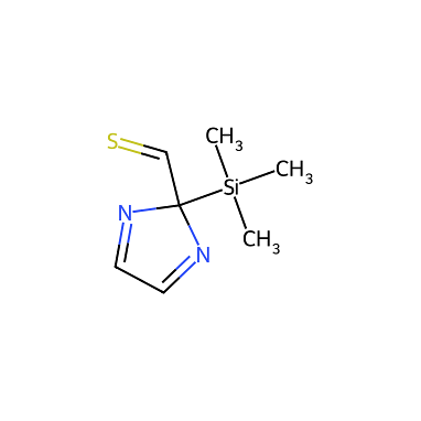 C[Si](C)(C)C1(C=S)N=CC=N1